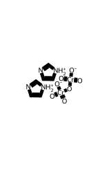 C1=C[NH2+]C=N1.C1=C[NH2+]C=N1.[O]=[Cr](=[O])([O-])[O][Cr](=[O])(=[O])[O-]